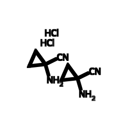 Cl.Cl.N#CC1(N)CC1.N#CC1(N)CC1